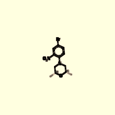 C[C@@H]1CN(c2ccc(Br)cc2[N+](=O)[O-])C[C@H](C)O1